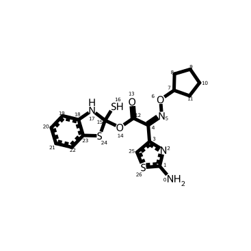 Nc1nc(/C(=N/OC2CCCC2)C(=O)OC2(S)Nc3ccccc3S2)cs1